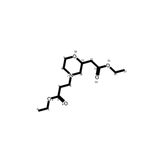 CCOC(=O)CCN1CCOC(CC(=O)OCC)C1